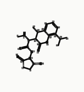 CNC(C(=O)ON1C(=O)CCC1=O)C1C(=O)Oc2c(C(C)C)cccc2C1C